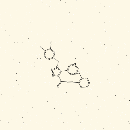 O=C(C#Cc1ccccc1Cl)c1nnn(Cc2ccc(F)c(F)c2)c1-c1cccnc1